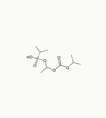 CC(C)OC(=O)OC(C)OP(=O)(O)C(C)C